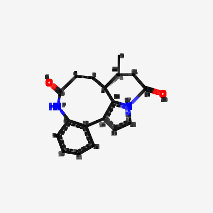 CC[C@@]12CCC(=O)Nc3ccccc3-c3ccn(c31)C(=O)CC2